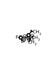 COC(=O)c1c(NS(=O)(=O)c2ccc(F)cc2Br)ccc(C2CC2C)c1OC